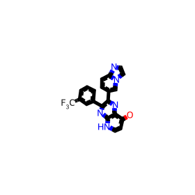 O=c1cc[nH]c2nc(-c3cccc(C(F)(F)F)c3)c(-c3ccc4nccn4c3)nc12